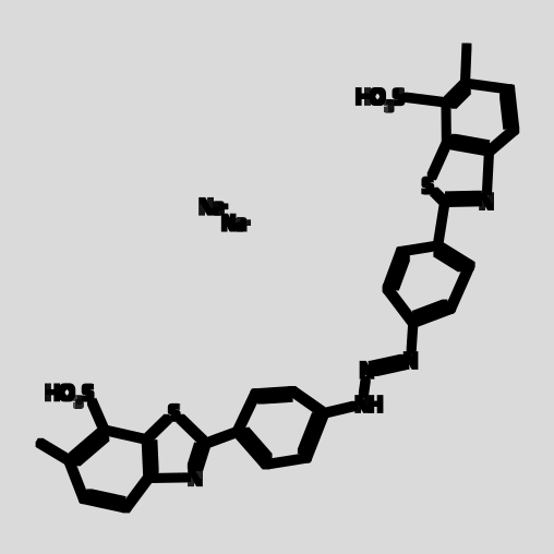 Cc1ccc2nc(-c3ccc(N=NNc4ccc(-c5nc6ccc(C)c(S(=O)(=O)O)c6s5)cc4)cc3)sc2c1S(=O)(=O)O.[Na].[Na]